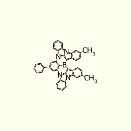 Cc1ccc2c3c4n(c5ccccc5n4c2c1)-c1cc(-c2ccccc2)cc2c1B3c1c3ccc(C)cc3n3c4ccccc4n-2c13